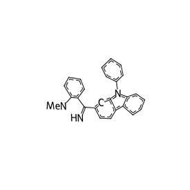 CNc1ccccc1C(=N)c1ccc2c3ccccc3n(-c3ccccc3)c2c1